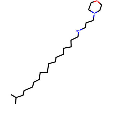 CC(C)CCCCCCCCCCCCCCCNCCCN1CCOCC1